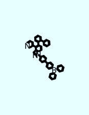 c1ccc(B(c2ccccc2)c2ccc(-c3ccc(-n4ncc5c(-c6cccnc6)c(-c6ccccc6-c6ccccc6)ccc54)cc3)cc2)cc1